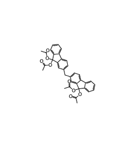 CC(=O)OC1(OC(C)=O)c2ccccc2-c2ccc(Cc3ccc4c(c3)C(OC(C)=O)(OC(C)=O)c3ccccc3-4)cc21